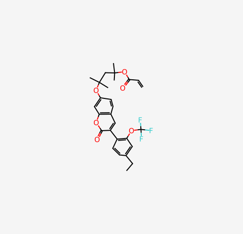 C=CC(=O)OC(C)(C)CC(C)(C)Oc1ccc2cc(-c3ccc(CC)cc3OC(F)(F)F)c(=O)oc2c1